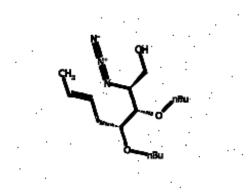 CC=CC[C@@H](OCCCC)[C@@H](OCCCC)[C@H](CO)N=[N+]=[N-]